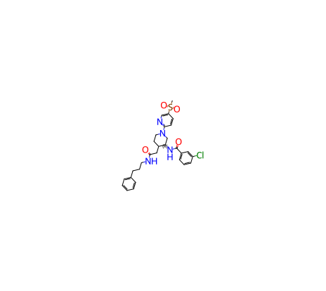 CS(=O)(=O)c1ccc(N2CCC(CC(=O)NCCCc3ccccc3)[C@@H](NC(=O)c3cccc(Cl)c3)C2)nc1